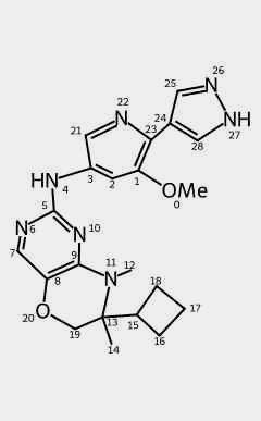 COc1cc(Nc2ncc3c(n2)N(C)C(C)(C2CCC2)CO3)cnc1-c1cn[nH]c1